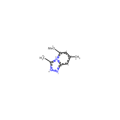 COc1cc(C)cc2nnc(C)n12